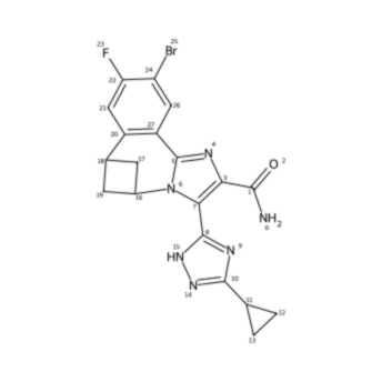 NC(=O)c1nc2n(c1-c1nc(C3CC3)n[nH]1)C1CC(C1)c1cc(F)c(Br)cc1-2